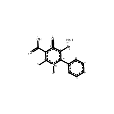 Cc1c(C(=O)O)c(=O)c(Br)c(-c2ccccc2)n1C.[NaH]